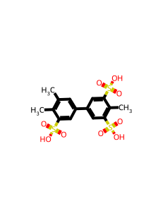 Cc1cc(-c2cc(S(=O)(=O)O)c(C)c(S(=O)(=O)O)c2)cc(S(=O)(=O)O)c1C